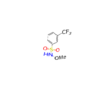 CONS(=O)(=O)c1cccc(C(F)(F)F)c1